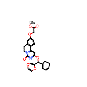 CC(C)(C)OC(=O)COc1ccc2c(c1)CCn1c-2cc(OC(C2=CC=CCC2)C2=COC=CO2)nc1=O